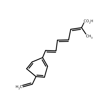 C=Cc1ccc(C=CC=CC=C(C)C(=O)O)cc1